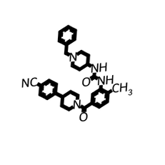 Cc1ccc(C(=O)N2CCC(c3ccc(C#N)cc3)CC2)cc1NC(=O)NC1CCN(Cc2ccccc2)CC1